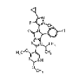 COC1=NC(OC)NC=C1c1nc2c(n1C(C)C)C(c1ccc(Cl)cc1)N(c1c(F)c(C3CC3)nn1C)C2=O